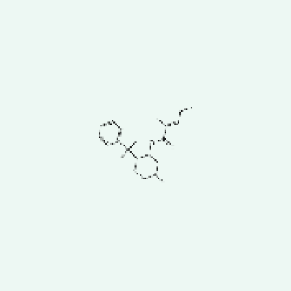 CC/C=C(\C)C(=O)OC1CC(C)CCC1C(C)(C)c1ccccc1